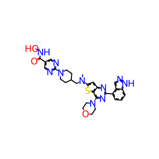 CN(CC1CCN(c2ncc(C(=O)NO)cn2)CC1)c1cc2nc(-c3cccc4[nH]ncc34)nc(N3CCOCC3)c2s1